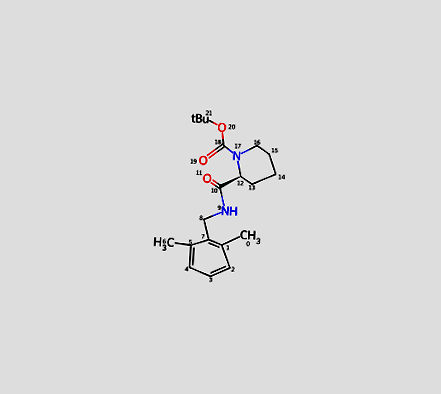 Cc1cccc(C)c1CNC(=O)[C@@H]1CCCCN1C(=O)OC(C)(C)C